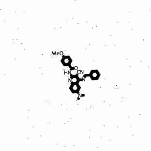 COc1ccc(C(=O)Nc2nc3ccc(N(C)C)cc3c(N=Cc3ccccc3)c2C#N)cc1